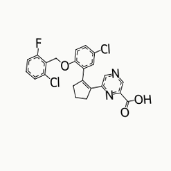 O=C(O)c1cncc(C2=C(c3cc(Cl)ccc3OCc3c(F)cccc3Cl)CCC2)n1